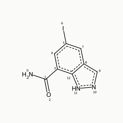 NC(=O)c1cc(I)cc2cn[nH]c12